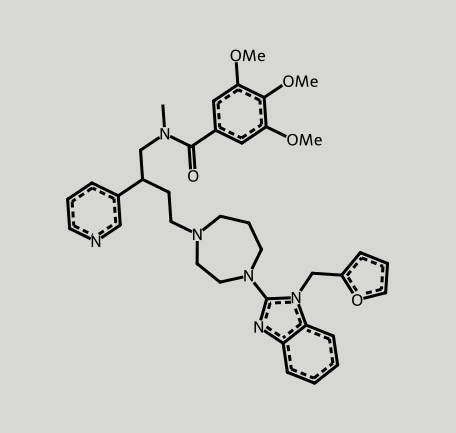 COc1cc(C(=O)N(C)CC(CCN2CCCN(c3nc4ccccc4n3Cc3ccco3)CC2)c2cccnc2)cc(OC)c1OC